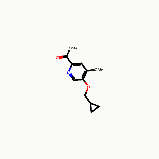 COC(=O)c1cc(OC)c(OCC2CC2)cn1